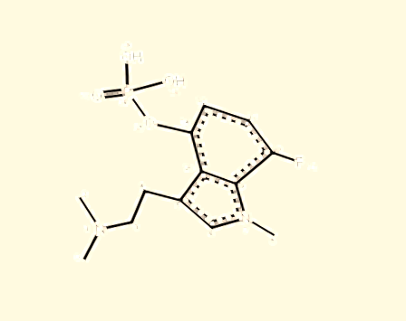 CN(C)CCc1cn(C)c2c(F)ccc(OP(=O)(O)O)c12